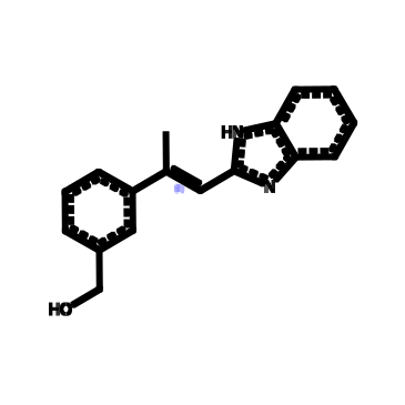 C/C(=C\c1nc2ccccc2[nH]1)c1cccc(CO)c1